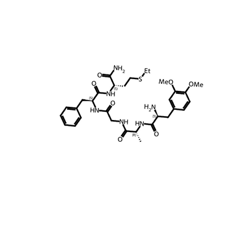 CCSCC[C@H](NC(=O)[C@H](Cc1ccccc1)NC(=O)CNC(=O)[C@@H](C)NC(=O)[C@@H](N)Cc1ccc(OC)c(OC)c1)C(N)=O